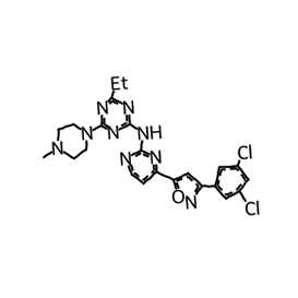 CCc1nc(Nc2nccc(-c3cc(-c4cc(Cl)cc(Cl)c4)no3)n2)nc(N2CCN(C)CC2)n1